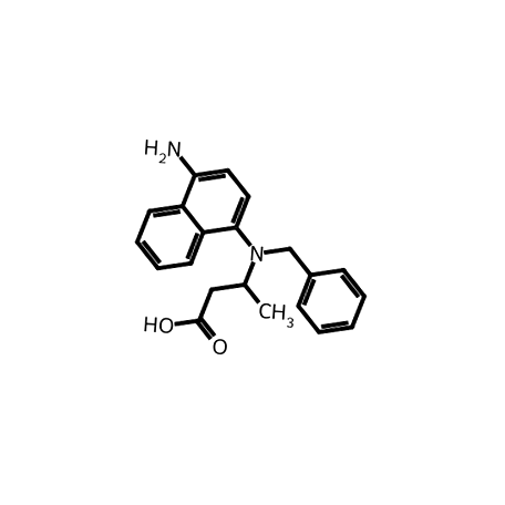 CC(CC(=O)O)N(Cc1ccccc1)c1ccc(N)c2ccccc12